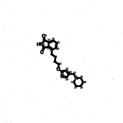 O=C1NC(=O)c2c(CCCCOn3cc(CN4CCCCC4)cn3)cccc21